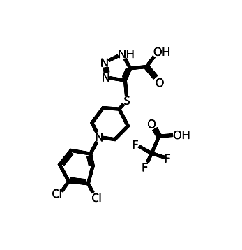 O=C(O)C(F)(F)F.O=C(O)c1[nH]nnc1SC1CCN(c2ccc(Cl)c(Cl)c2)CC1